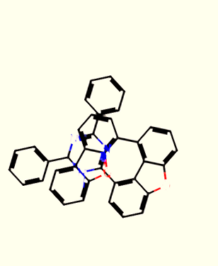 c1ccc(C2=NC(c3ccccc3)NC(c3cccc4oc5cccc(-c6cccc7c6oc6ccccc67)c5c34)=N2)cc1